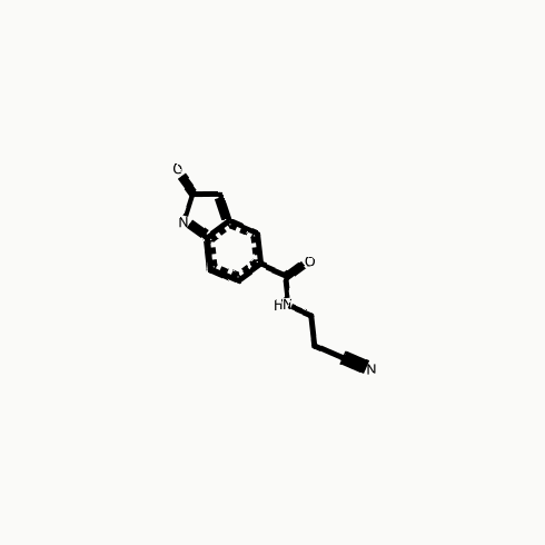 N#CCCNC(=O)c1ccc2c(c1)=CC(=O)N=2